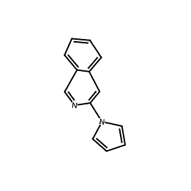 c1ccc2cc(-n3cccc3)ncc2c1